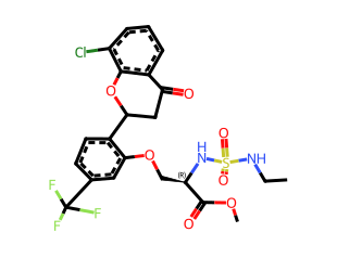 CCNS(=O)(=O)N[C@H](COc1cc(C(F)(F)F)ccc1C1CC(=O)c2cccc(Cl)c2O1)C(=O)OC